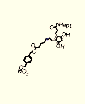 CCCCCCCC(=O)CC[C@@H]1[C@@H](C/C=C\CCCC(=O)OCc2ccc(CO[N+](=O)[O-])cc2)[C@@H](O)C[C@H]1O